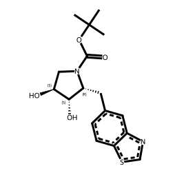 CC(C)(C)OC(=O)N1C[C@H](O)[C@@H](O)[C@H]1Cc1ccc2scnc2c1